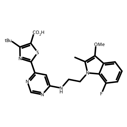 COc1c(C)n(CCNc2cc(-c3nc(C(C)(C)C)c(C(=O)O)s3)ncn2)c2c(F)cccc12